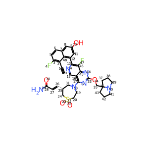 C#Cc1c(F)ccc2cc(O)cc(-c3ncc4c(N5CCS(=O)(=O)C[C@H](C=CC(N)=O)C5)nc(OCC56CCCN5CCC6)nc4c3F)c12